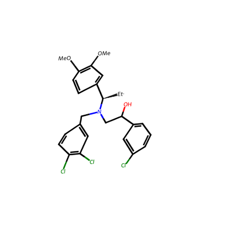 C[CH][C@H](c1ccc(OC)c(OC)c1)N(Cc1ccc(Cl)c(Cl)c1)CC(O)c1cccc(Cl)c1